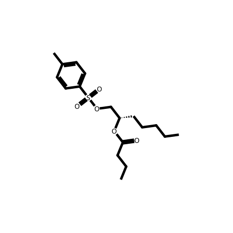 CCCCC[C@@H](COS(=O)(=O)c1ccc(C)cc1)OC(=O)CCC